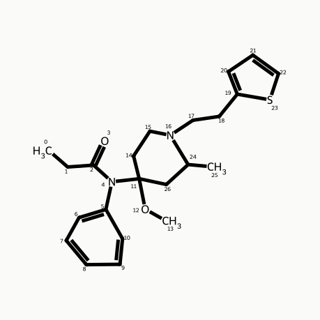 CCC(=O)N(c1ccccc1)C1(OC)CCN(CCc2cccs2)C(C)C1